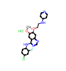 COc1cc2c(Nc3ccc(Cl)cc3F)ncnc2cc1OCCNc1ccncc1.Cl